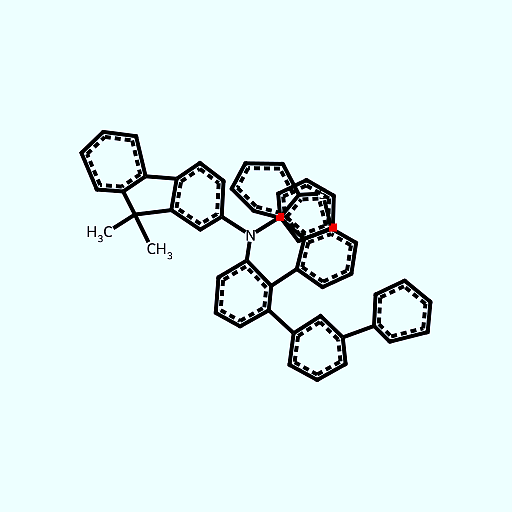 CC1(C)c2ccccc2-c2ccc(N(c3ccccc3)c3cccc(-c4cccc(-c5ccccc5)c4)c3-c3cccc4sc5ccccc5c34)cc21